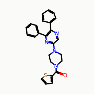 O=C(c1cccs1)N1CCN(c2cnc(-c3ccccc3)c(-c3ccccc3)n2)CC1